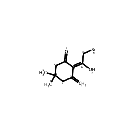 C=C1CC(C)(C)CC(=O)/C1=C(/O)CBr